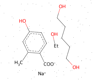 CCO.Cc1cc(O)ccc1C(=O)[O-].OCCCCCO.[Na+]